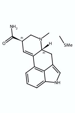 CN1C[C@H](C(N)=O)C=C2c3cccc4[nH]cc(c34)C[C@H]21.CSC